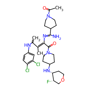 C=C(Nc1ccc(Cl)c(Cl)c1)/C(C)=C(\N=C(/N)C1CCN(C(C)=O)CC1)C(=O)N1CCC(N[C@@H]2CCOC[C@@H]2F)CC1